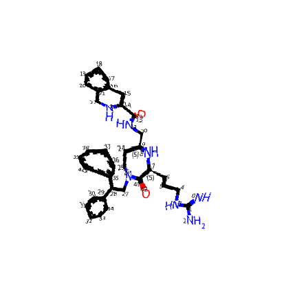 N=C(N)NCCC[C@@H]1N[C@H](CNC(=O)C2Cc3ccccc3CN2)CCN(CC(c2ccccc2)c2ccccc2)C1=O